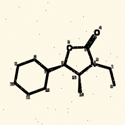 CCN1C(=O)O[C@H](C2CCCCC2)[C@@H]1C